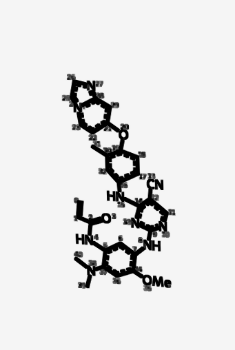 C=CC(=O)Nc1cc(Nc2ncc(C#N)c(Nc3ccc(Oc4ccn5ccnc5c4)c(C)c3)n2)c(OC)cc1N(C)C